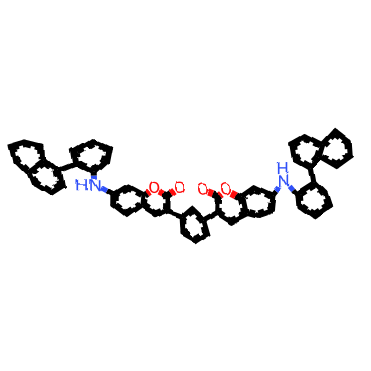 O=c1oc2cc(Nc3ccccc3-c3cccc4ccccc34)ccc2cc1-c1cccc(-c2cc3ccc(Nc4ccccc4-c4cccc5ccccc45)cc3oc2=O)c1